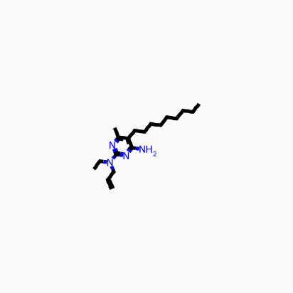 C=CCN(CC)c1nc(C)c(CCCCCCCCC)c(N)n1